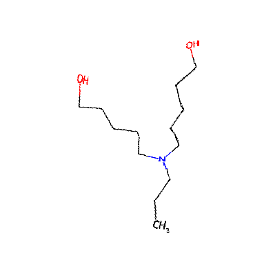 CCCN(CCCCCO)CCCCCO